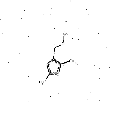 CCCOCc1cc(C)sc1C